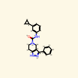 O=C(Nc1cccc(C2CC2)c1)N1CCc2[nH]nc(-c3ccccc3)c2C1